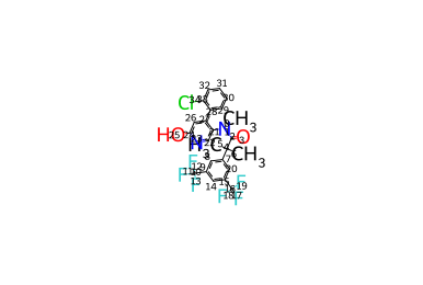 CN(C(=O)C(C)(C)c1cc(C(F)(F)F)cc(C(F)(F)F)c1)c1cnc(O)cc1-c1ccccc1Cl